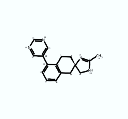 CC1=N[C@]2(CCc3c(cccc3-c3cncnc3)C2)CN1